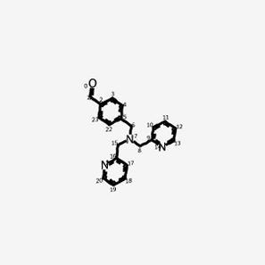 O=[C]c1ccc(CN(Cc2ccccn2)Cc2ccccn2)cc1